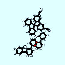 N#Cc1ccc(C2(c3ccc(C#N)cc3)c3ccccc3-c3ccc(N(c4ccc(-c5cccc6c5oc5ccccc56)cc4)c4ccccc4-c4ccccc4)cc32)cc1